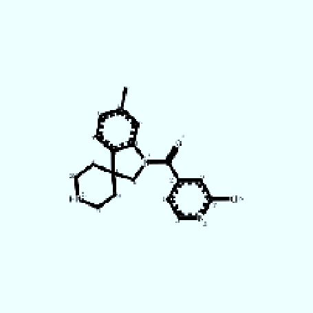 Cc1ccc2c(c1)N(C(=O)c1ccnc(Cl)c1)CC21CCNCC1